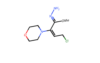 COC(=NN)/C(=C\CCl)N1CCOCC1